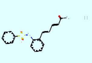 CN(O)C(=O)/C=C/C=C/c1ccccc1NS(=O)(=O)c1ccccc1